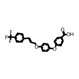 O=C(O)c1ccc(Oc2ccc(OCC=Cc3ccc(C(F)(F)F)cc3)cc2)cc1